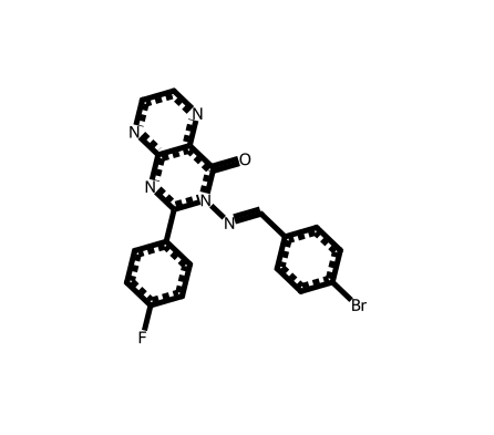 O=c1c2nccnc2nc(-c2ccc(F)cc2)n1N=Cc1ccc(Br)cc1